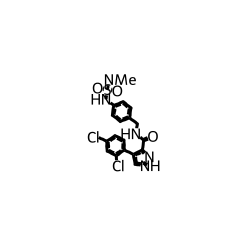 CNS(=O)(=O)Nc1ccc(CNC(=O)c2n[nH]cc2-c2ccc(Cl)cc2Cl)cc1